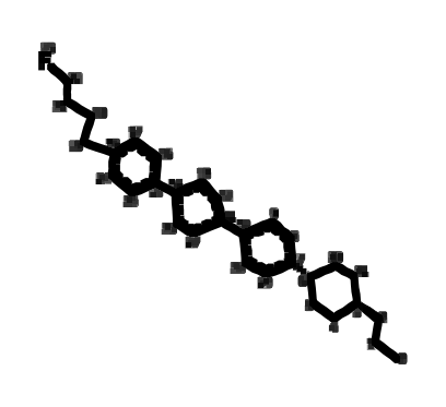 CCC[C@H]1CC[C@H](c2ccc(-c3ccc(-c4ccc(CCCCF)cc4)cc3)cc2)CC1